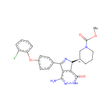 CC(C)(C)OC(=O)N1CCC[C@@H](C2N=C(c3ccc(Oc4ccccc4F)cc3)c3c(N)n[nH]c(=O)c32)C1